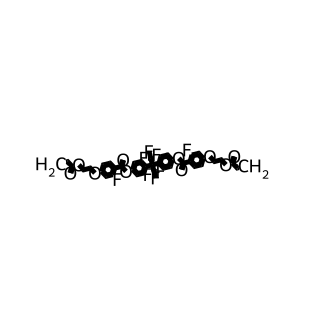 C=CC(=O)OCCOc1ccc(C(=O)Oc2ccc(C(c3ccc(OC(=O)c4ccc(OCCOC(=O)C=C)cc4F)cc3)(C(F)(F)F)C(F)(F)F)cc2)c(F)c1